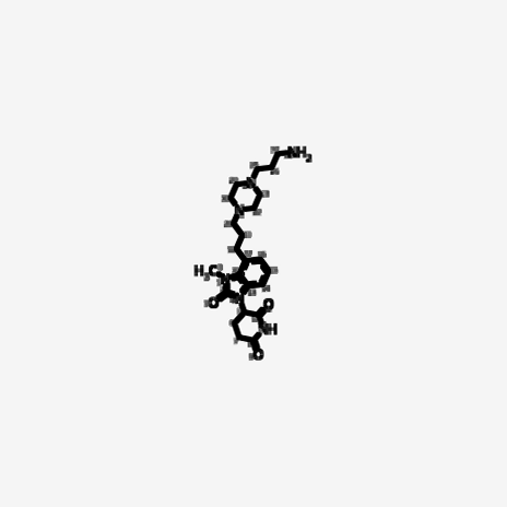 Cn1c(=O)n(C2CCC(=O)NC2=O)c2cccc(CCCN3CCN(CCCN)CC3)c21